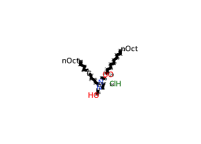 CCCCCCCCC=CCCCCCCCCC1N(CCO)CCN1CCOC(=O)CCCCCCCC=CCCCCCCCC.Cl